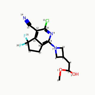 COC(O)CC1CN(c2nc(Cl)c(C#N)c3c2CCC3(F)F)C1